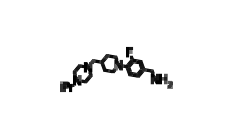 CC(C)N1CCN(CC2CCN(c3ccc(CN)cc3F)CC2)CC1